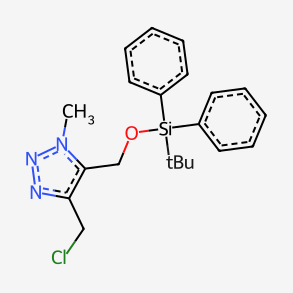 Cn1nnc(CCl)c1CO[Si](c1ccccc1)(c1ccccc1)C(C)(C)C